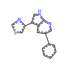 c1ccc(-c2cnc3[nH]cc(-c4cscn4)c3c2)cc1